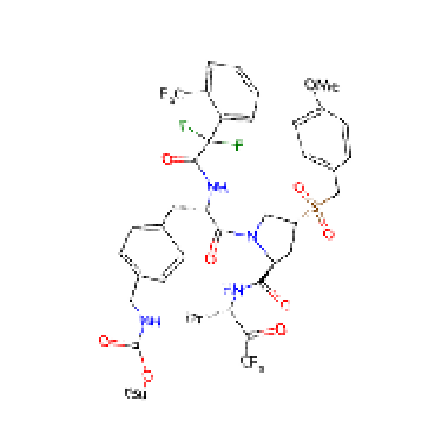 COc1ccc(CS(=O)(=O)[C@@H]2C[C@@H](C(=O)N[C@H](C(=O)C(F)(F)F)C(C)C)N(C(=O)[C@H](Cc3ccc(CNC(=O)OC(C)(C)C)cc3)NC(=O)C(F)(F)c3ccccc3C(F)(F)F)C2)cc1